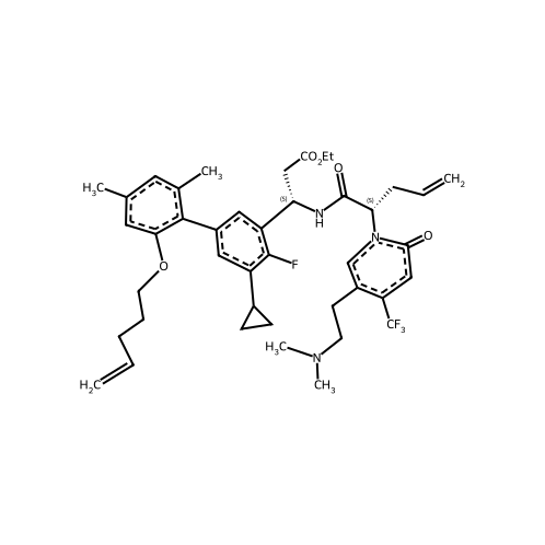 C=CCCCOc1cc(C)cc(C)c1-c1cc(C2CC2)c(F)c([C@H](CC(=O)OCC)NC(=O)[C@H](CC=C)n2cc(CCN(C)C)c(C(F)(F)F)cc2=O)c1